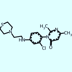 Cc1cc(=O)n(-c2ccc(NCCN3CCSCC3)cc2Cl)c(C)n1